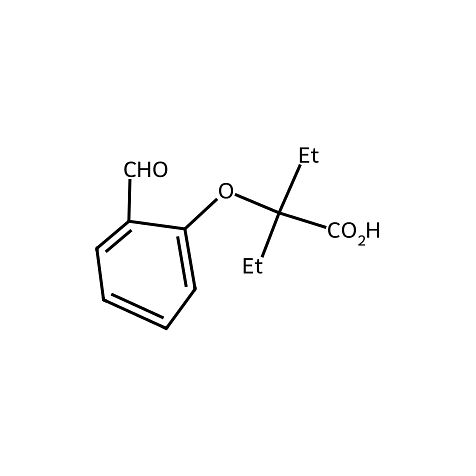 CCC(CC)(Oc1ccccc1C=O)C(=O)O